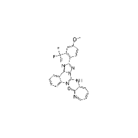 COc1ccc(-c2nc3c4ccccc4nc(Nc4ccccnc4=O)n3n2)c(C(F)(F)F)c1